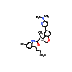 CC1C(C(=O)Nc2cc(C#N)ccc2CCCC(=O)O)[C@@]12CCOc1ccc(-c3ccc(N(C)C)nc3)cc12